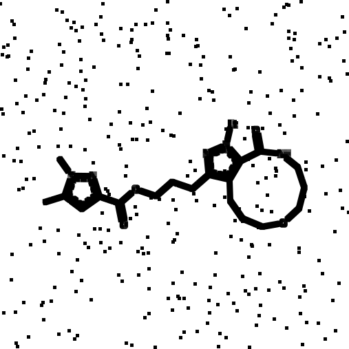 CCn1nc(CCCOC(=O)c2cc(C)n(C)n2)c2c1C(=O)NCCCOCCC2